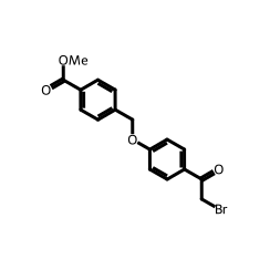 COC(=O)c1ccc(COc2ccc(C(=O)CBr)cc2)cc1